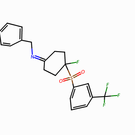 O=S(=O)(c1cccc(C(F)(F)F)c1)C1(F)CCC(=NCc2ccccc2)CC1